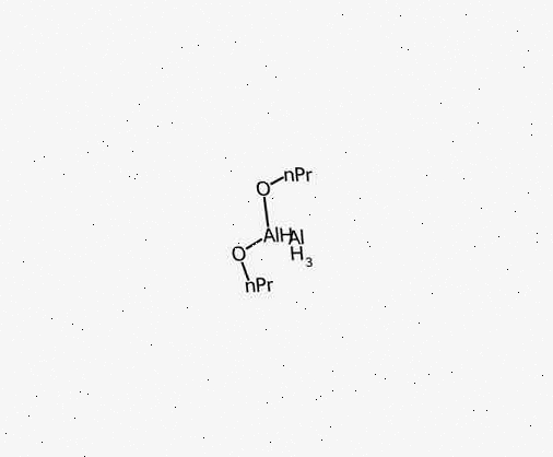 CCC[O][AlH][O]CCC.[AlH3]